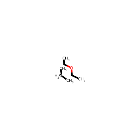 CCOCC.C[SiH2]C